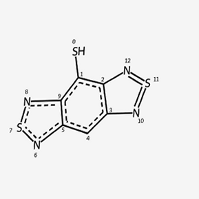 Sc1c2c(cc3nsnc13)N=S=N2